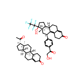 CC(=O)[C@H]1CC[C@H]2[C@@H]3CCC4=CC(=O)CC[C@]4(C)[C@H]3CC[C@]12C.C[C@]12C[C@H](c3ccc(C(=O)CO)cc3)C3=C4CCC(=O)C=C4CC[C@H]3[C@@H]1CC[C@@]2(O)C(F)(F)C(F)(F)F